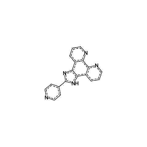 c1cnc2c(c1)c1nc(-c3ccncc3)[nH]c1c1cccnc12